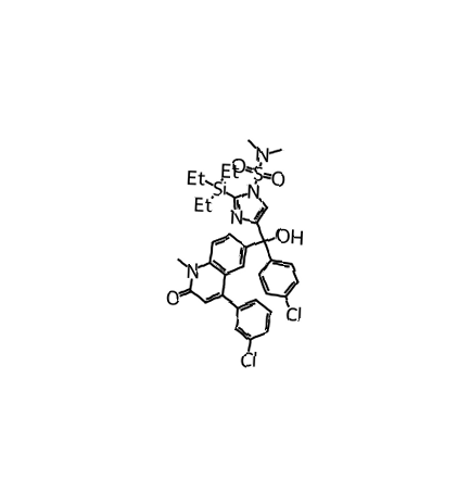 CC[Si](CC)(CC)c1nc(C(O)(c2ccc(Cl)cc2)c2ccc3c(c2)c(-c2cccc(Cl)c2)cc(=O)n3C)cn1S(=O)(=O)N(C)C